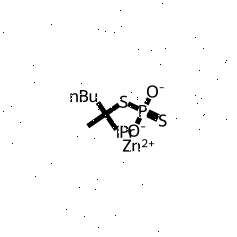 CCCCC(C)(SP([O-])([O-])=S)C(C)C.[Zn+2]